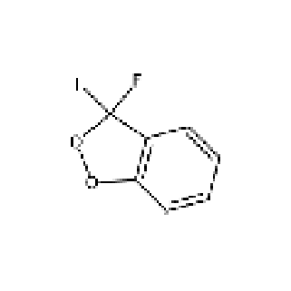 FC1(F)OOc2[c]cccc21